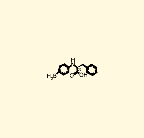 Bc1ccc(N[C@@H](Cc2ccccc2)C(=O)O)cc1